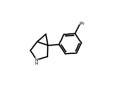 CC(C)c1cccc(C23CNCC2C3)c1